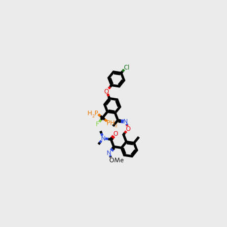 CO/N=C(/C(=O)N(C)C)c1cccc(C)c1CO/N=C(\C)c1ccc(Oc2ccc(Cl)cc2)cc1C(F)(P)P